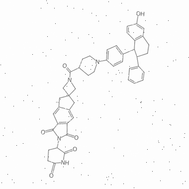 O=C1CCC(N2C(=O)c3cc4c(cc3C2=O)CC2(C4)CN(C(=O)C3CCN(c4ccc(C5c6ccc(O)cc6CCC5c5ccccc5)cc4)CC3)C2)C(=O)N1